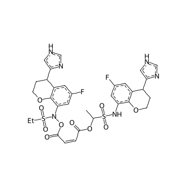 CCS(=O)(=O)N(OC(=O)/C=C\C(=O)OC(C)S(=O)(=O)Nc1cc(F)cc2c1OCCC2c1c[nH]cn1)c1cc(F)cc2c1OCCC2c1c[nH]cn1